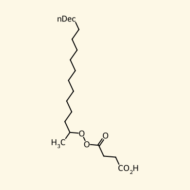 CCCCCCCCCCCCCCCCCCCCC(C)OOC(=O)CCC(=O)O